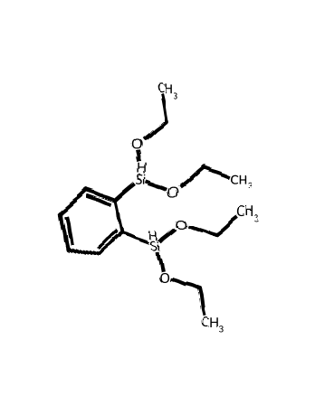 CCO[SiH](OCC)c1ccccc1[SiH](OCC)OCC